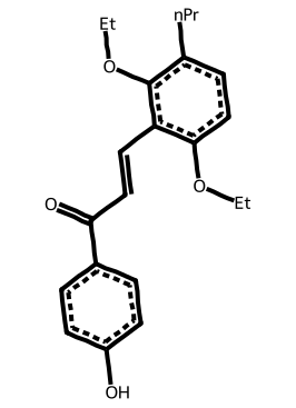 CCCc1ccc(OCC)c(/C=C/C(=O)c2ccc(O)cc2)c1OCC